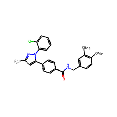 COc1ccc(CNC(=O)c2ccc(-c3cc(C(F)(F)F)nn3-c3ccccc3Cl)cc2)cc1OC